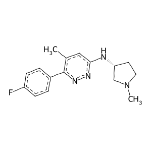 Cc1cc(N[C@@H]2CCN(C)C2)nnc1-c1ccc(F)cc1